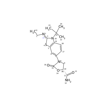 CC/N=c1\sc2cc(N3C[C@H](C(N)=O)OC3=O)ccc2n1C(C)(C)C